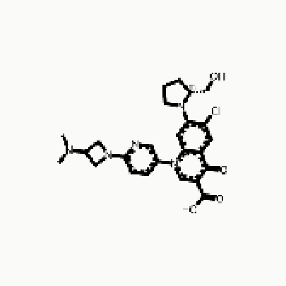 CN(C)C1CN(c2ccc(-n3cc(C(=O)O)c(=O)c4cc(Cl)c(N5CCC[C@@H]5CO)cc43)cn2)C1